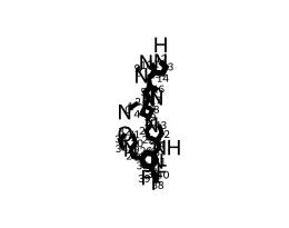 N#CC[C@]1(n2cc(-c3ncnc4[nH]ccc34)cn2)C[C@H](N2CCC(Nc3cc(CN4CCOCC4)cc(C(F)(F)F)n3)CC2)C1